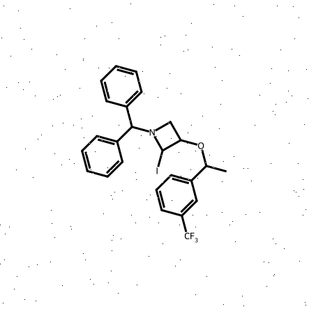 CC(OC1CN(C(c2ccccc2)c2ccccc2)C1I)c1cccc(C(F)(F)F)c1